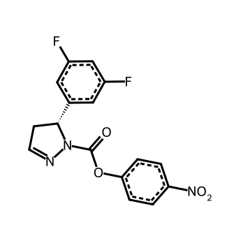 O=C(Oc1ccc([N+](=O)[O-])cc1)N1N=CC[C@@H]1c1cc(F)cc(F)c1